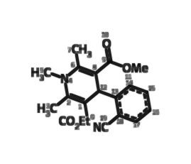 CCOC(=O)C1=C(C)N(C)C(C)=C(C(=O)OC)C1c1ccccc1C#N